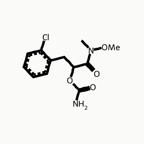 CON(C)C(=O)C(Cc1ccccc1Cl)OC(N)=O